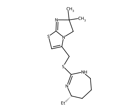 CC[C@H]1CCCNC(SCC2=CSC3=NC(C)(C)CN23)=N1